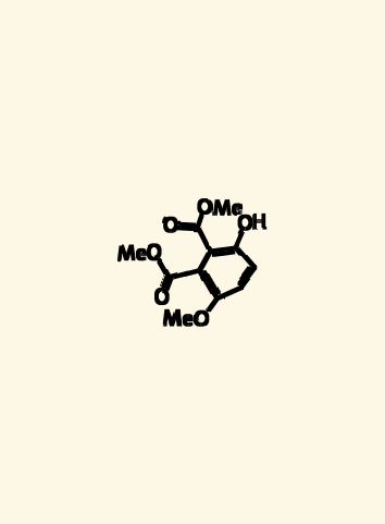 COC(=O)c1c(O)ccc(OC)c1C(=O)OC